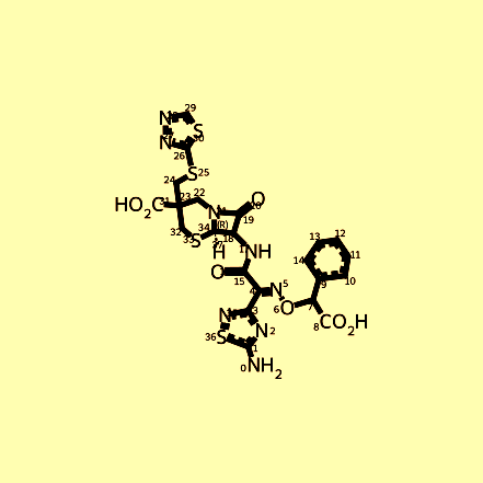 Nc1nc(C(=NOC(C(=O)O)c2ccccc2)C(=O)NC2C(=O)N3CC(CSc4nncs4)(C(=O)O)CS[C@H]23)ns1